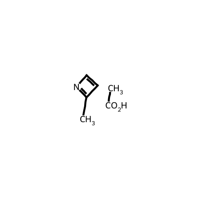 CC(=O)O.CC1=NC=C1